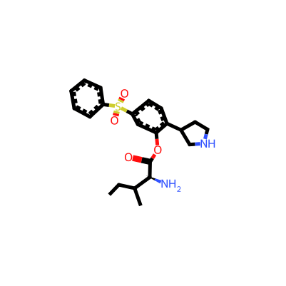 CCC(C)[C@H](N)C(=O)Oc1cc(S(=O)(=O)c2ccccc2)ccc1C1CCNC1